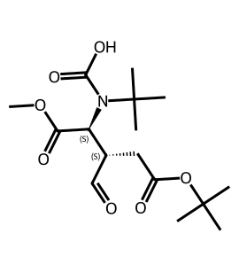 COC(=O)[C@H]([C@@H](C=O)CC(=O)OC(C)(C)C)N(C(=O)O)C(C)(C)C